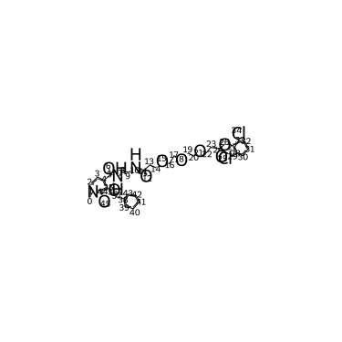 Cn1ccc(C(O)NCCNC(=O)CCOCCOCCOCCC(=O)Oc2c(Cl)cccc2Cl)c(OCc2ccccc2)c1=O